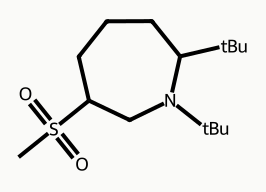 CC(C)(C)C1CCCC(S(C)(=O)=O)CN1C(C)(C)C